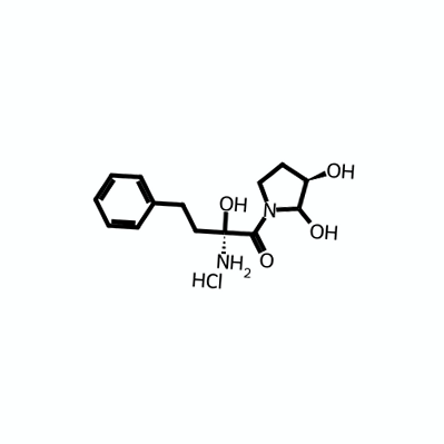 Cl.N[C@@](O)(CCc1ccccc1)C(=O)N1CC[C@@H](O)C1O